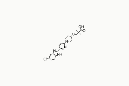 CC(C)(COC1CCN(c2ccc(-c3nc4cc(Cl)ccc4[nH]3)cn2)CC1)C(=O)O